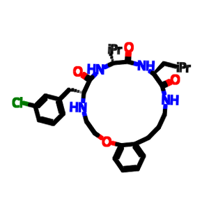 CC(C)C[C@@H]1NC(=O)[C@@H](C(C)C)NC(=O)[C@@H](Cc2cccc(Cl)c2)NCCOc2ccccc2CCCNC1=O